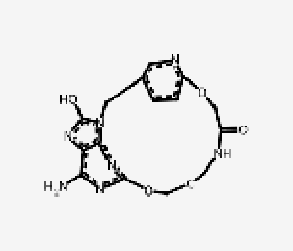 Nc1nc2nc3c1nc(O)n3Cc1ccc(nc1)OCC(=O)NCCCO2